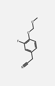 COCOc1ccc(CC#N)cc1F